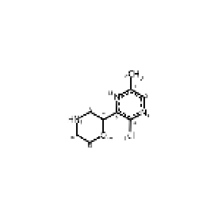 Cc1cnc(Cl)c(C2CNCCO2)n1